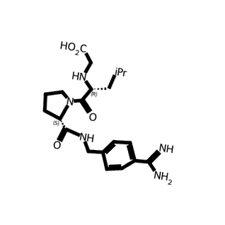 CC(C)C[C@@H](NCC(=O)O)C(=O)N1CCC[C@H]1C(=O)NCc1ccc(C(=N)N)cc1